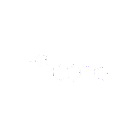 Cn1cc(-c2cnc3ccc(Nc4nnc[nH]4)nc3c2)cn1